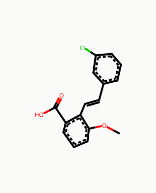 COc1cccc(C(=O)O)c1/C=C/c1cccc(Cl)c1